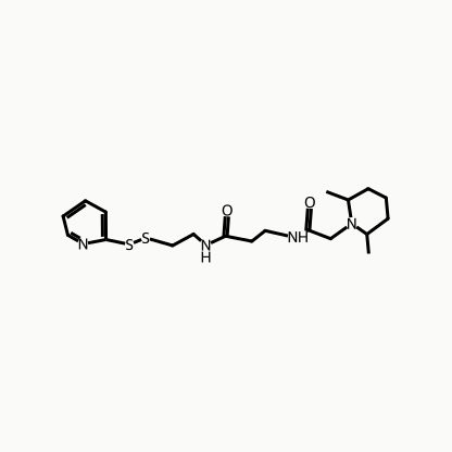 CC1CCCC(C)N1CC(=O)NCCC(=O)NCCSSc1ccccn1